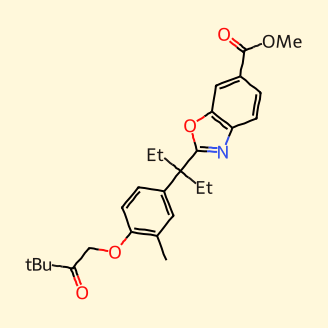 CCC(CC)(c1ccc(OCC(=O)C(C)(C)C)c(C)c1)c1nc2ccc(C(=O)OC)cc2o1